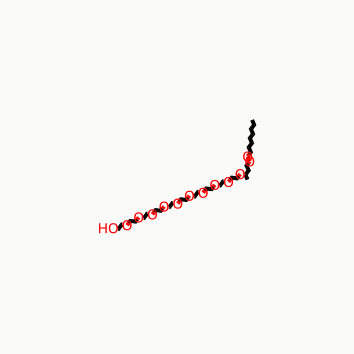 CCCCCCCCOOCCC(C)OCCOCCOCCOCCOCCOCCOCCOCCOCCOCCO